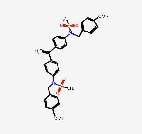 C=C(c1ccc(N(Cc2ccc(OC)cc2)S(C)(=O)=O)cc1)c1ccc(N(Cc2ccc(OC)cc2)S(C)(=O)=O)cc1